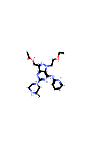 CCOCCn1nc(COCC)c2nc(N3CCN[C@H](C)C3)nc(Nc3ccccn3)c21